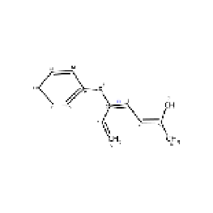 C=C/C(=C\C=C(C)C)SC1=CCCC=C1